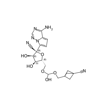 N#CC12CC(COC(O)OC[C@H]3O[C@@](C#N)(c4ccc5c(N)ncnn45)[C@H](O)[C@@H]3O)(C1)C2